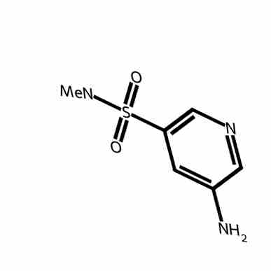 CNS(=O)(=O)c1cncc(N)c1